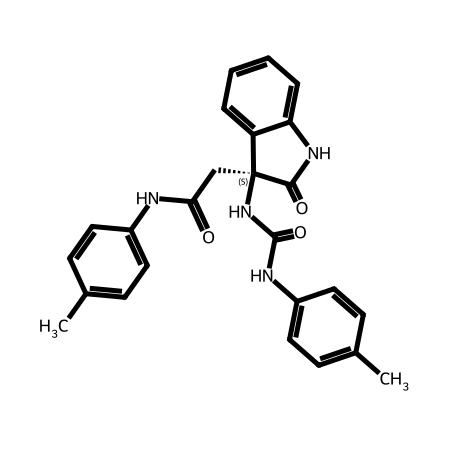 Cc1ccc(NC(=O)C[C@@]2(NC(=O)Nc3ccc(C)cc3)C(=O)Nc3ccccc32)cc1